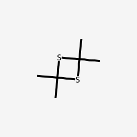 CC1(C)SC(C)(C)S1